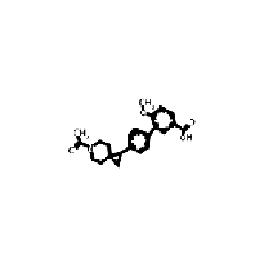 COc1ccc(C(=O)O)cc1-c1ccc(C2CC23CCN(C(C)=O)CC3)cc1